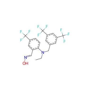 CCN(Cc1cc(C(F)(F)F)cc(C(F)(F)F)c1)c1ccc(C(F)(F)F)cc1C=NO